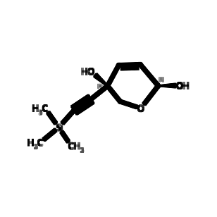 C[Si](C)(C)C#C[C@]1(O)C=C[C@@H](O)OC1